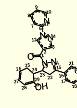 O=C(c1cnn(-c2ccccn2)c1)N1N=C(c2cccnc2)CC1C1CC=CC=C1O